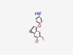 CCc1cc2c(Oc3ccc(NC)cc3)ccnc2cc1OC